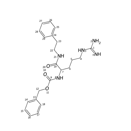 N=C(N)NCCCC(NC(=O)OCc1ccccc1)C(=O)NCCc1ccccc1